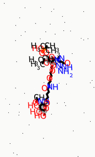 CC(=O)N[C@H]1[C@H](OCCCCC(=O)NCCOCCOCO[C@@H]2[C@H](OC(C)(C)C)[C@@H](COP(=O)(O)C(C)(C)C)O[C@H]2n2cnc3c(=O)[nH]c(N)nc32)O[C@H](CO)[C@H](O)[C@@H]1O